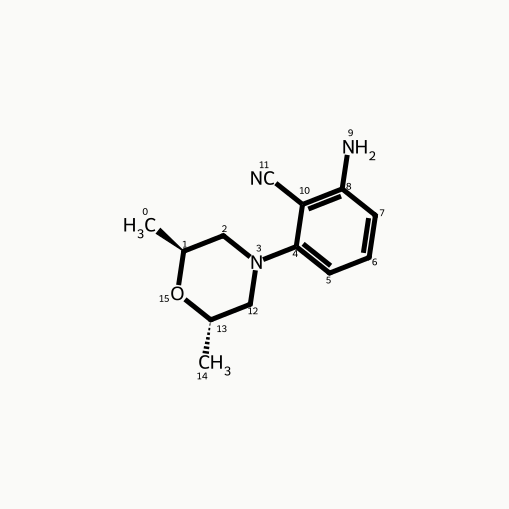 C[C@H]1CN(c2cccc(N)c2C#N)C[C@H](C)O1